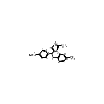 COc1ccc([C@H](Cc2ccc(C(F)(F)F)cc2)c2c[nH]c(N)n2)cc1